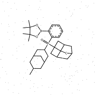 CC1CC2CC(C1)CC(P(=O)(c1ccccc1B1OC(C)(C)C(C)(C)O1)C13CC4CC5CC(C1)C43C5)C2